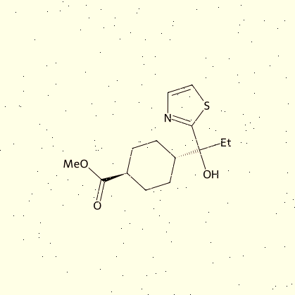 CCC(O)(c1nccs1)[C@H]1CC[C@H](C(=O)OC)CC1